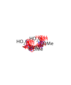 C#CCC(C)(C)OCC(C)(C)NC(=O)c1cc(COC(=O)N2c3cc(OCCCCCOc4cc5c(cc4OC)C(=O)N4C=C(C)C[C@H]4C(O)N5C(=O)OCc4ccc(O[C@@H]5O[C@H](C(=O)O)[C@@H](O)[C@H](O)[C@H]5O)c(C(=O)NCCOC)c4)c(OC)cc3C(=O)N3C=C(C)C[C@H]3C2O)ccc1O[C@@H]1O[C@H](C(=O)O)[C@@H](O)[C@H](O)[C@H]1O